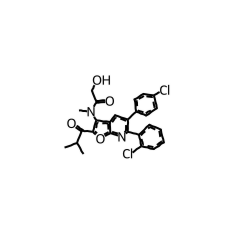 CC(C)C(=O)c1oc2nc(-c3ccccc3Cl)c(-c3ccc(Cl)cc3)cc2c1N(C)C(=O)CO